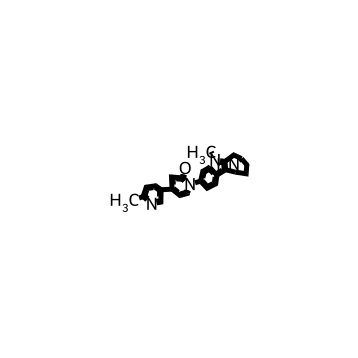 Cc1ccc(-c2ccn(-c3ccc4c5c(n(C)c4c3)CC3CCC5N3)c(=O)c2)cn1